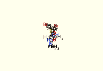 CCN(CC)CCNC(=O)c1c(C)[nH]c(/C=C(/SCc2ccc(Br)cc2)C(=O)c2ccc(Br)cc2)c1C